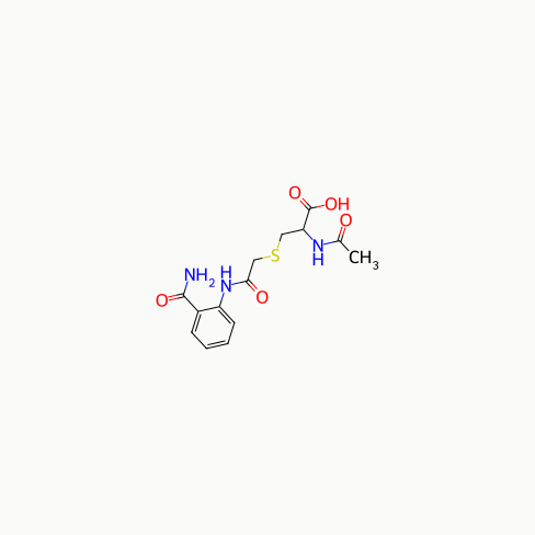 CC(=O)NC(CSCC(=O)Nc1ccccc1C(N)=O)C(=O)O